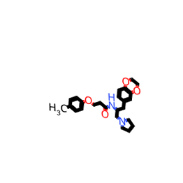 Cc1ccc(OCCC(=O)NC(Cc2ccc3c(c2)OCCO3)CN2CCCC2)cc1